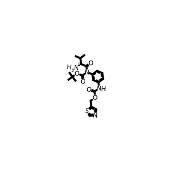 CC(C)[C@H](N)C(=O)N(C(=O)OC(C)(C)C)c1cccc(NC(=O)OCc2cncs2)c1